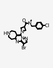 CN(Cc1ccc(Cl)cc1)C(=O)C1CN(c2c3c(nc4c(Br)cnn24)CCNCC3)C1